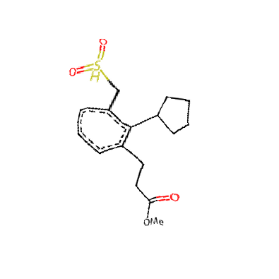 COC(=O)CCc1cccc(C[SH](=O)=O)c1C1CCCC1